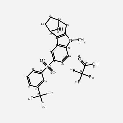 Cn1c2c(c3cc(S(=O)(=O)c4cccc(C(F)(F)F)c4)ccc31)C1CCC(C2)N1.O=C(O)C(F)(F)F